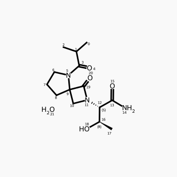 CC(C)C(=O)N1CCCC12CN([C@H](C(N)=O)[C@@H](C)O)C2=O.O